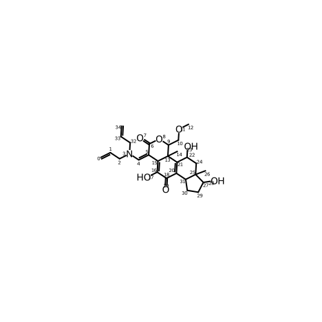 C=CCN(C=C1C(=O)OC(COC)C2(C)C1=C(O)C(=O)C1=C2C(O)CC2(C)C(O)CCC12)CC=C